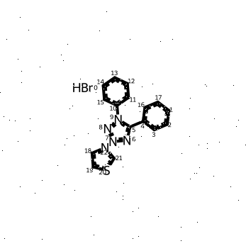 Br.c1ccc(-c2nnnn2-c2ccccc2)cc1.c1cscn1